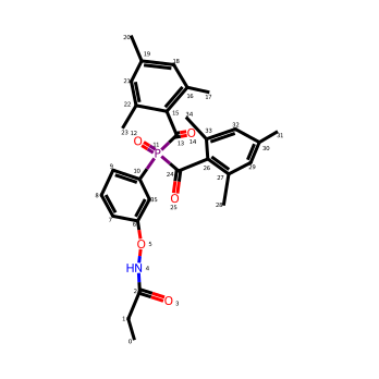 CCC(=O)NOc1cccc(P(=O)(C(=O)c2c(C)cc(C)cc2C)C(=O)c2c(C)cc(C)cc2C)c1